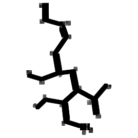 B\C=C(CC)/C(=C\C(=C/C=N\C=C)CC)C(=C)C